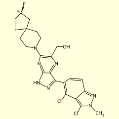 Cn1nc2ccc(-c3n[nH]c4nc(N5CCC6(CC[C@@H](F)C6)CC5)c(CO)nc34)c(Cl)c2c1Cl